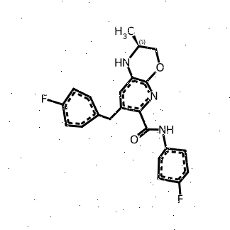 C[C@H]1COc2nc(C(=O)Nc3ccc(F)cc3)c(Cc3ccc(F)cc3)cc2N1